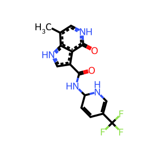 Cc1c[nH]c(=O)c2c(C(=O)NC3C=CC(C(F)(F)F)=CN3)c[nH]c12